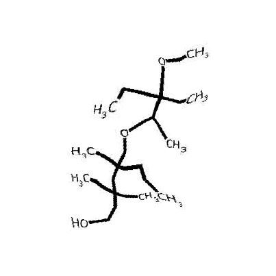 CCC(C)(OC)C(C)OC(C)(CC)C(C)(C)CO